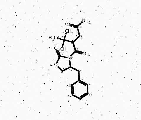 CC(C)(C)C(CC(N)=O)C(=O)N1C(=O)OCC1Cc1ccccc1